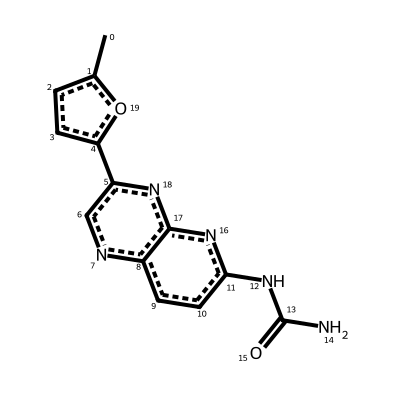 Cc1ccc(-c2cnc3ccc(NC(N)=O)nc3n2)o1